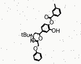 Cc1cccc(C(=O)Oc2ccc(C(CNC(C)(C)C)OC(=O)COc3ccccc3)cc2O)c1